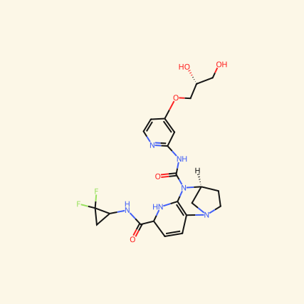 O=C(NC1CC1(F)F)C1C=CC2=C(N1)N(C(=O)Nc1cc(OC[C@H](O)CO)ccn1)[C@H]1CCN2C1